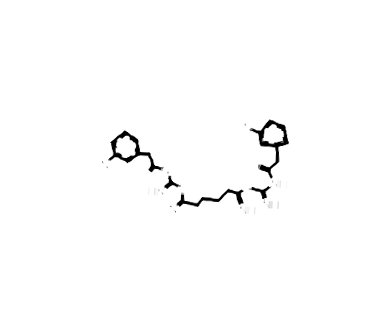 N=C(CCCCC(=N)SC(=N)NC(=O)Cc1cccc(N)c1)SC(=N)NC(=O)Cc1cccc(N)c1